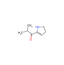 CC(C)C(=O)C1=CCCN1